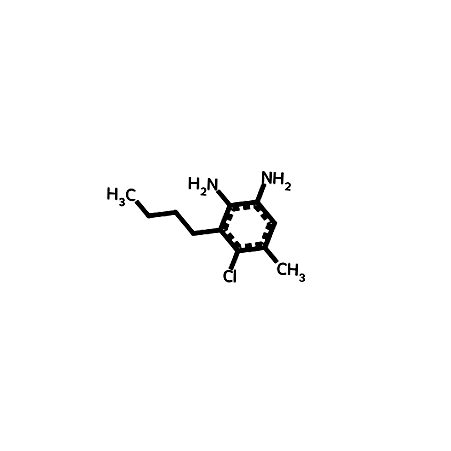 CCCCc1c(N)c(N)cc(C)c1Cl